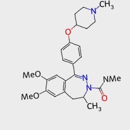 CNC(=O)N1N=C(c2ccc(OC3CCN(C)CC3)cc2)c2cc(OC)c(OC)cc2CC1C